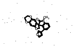 CN1C(=O)C2(COc3cc4c(cc32)OCCO4)c2c(-c3ccoc3)cccc21